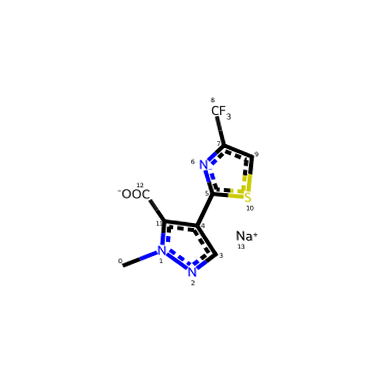 Cn1ncc(-c2nc(C(F)(F)F)cs2)c1C(=O)[O-].[Na+]